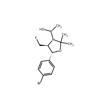 CB(O)N1[C@H](CF)[C@@H](c2ccc(Br)cc2)OC1(C)C